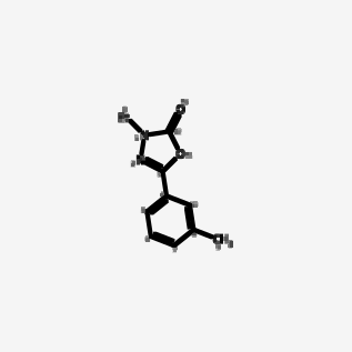 CCn1nc(-c2cccc(C)c2)oc1=O